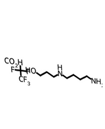 NCCCCNCCCO.O=C(O)C(F)(F)C(F)(F)F